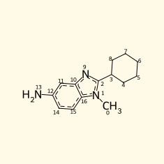 Cn1c(C2CCCCC2)nc2cc(N)ccc21